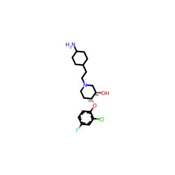 NC1CCC(CCN2CC[C@@H](Oc3ccc(F)cc3Cl)[C@H](O)C2)CC1